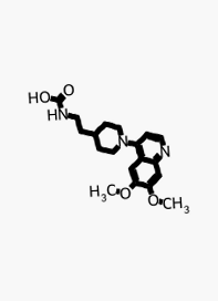 COc1cc2nccc(N3CCC(CCNC(=O)O)CC3)c2cc1OC